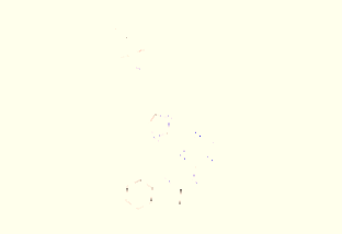 C=C(/N=C(N)\N=C(/N)c1noc(C2CCN(S(=O)(=O)C3CC3)CC2)n1)Nc1ccccc1